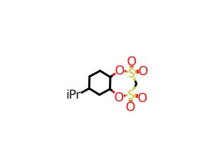 CC(C)C1CCC2OS(=O)(=O)CS(=O)(=O)OC2C1